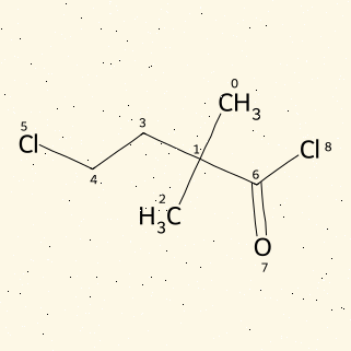 CC(C)(CCCl)C(=O)Cl